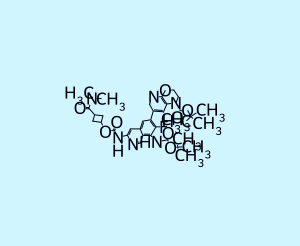 Cc1c(-c2cc3cc(NC(=O)OC4CC(C(=O)N(C)C)C4)ncc3c(NC(=O)OC(C)(C)C)c2F)cnc2c1N(C(=O)OC(C)(C)C)CCO2